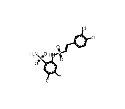 NS(=O)(=O)c1cc(Cl)c(F)cc1NS(=O)(=O)C=Cc1ccc(Cl)c(Cl)c1